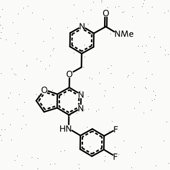 CNC(=O)c1cc(COc2nnc(Nc3ccc(F)c(F)c3)c3ccoc23)ccn1